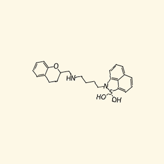 OS1(O)c2cccc3cccc(c23)N1CCCCNCC1CCc2ccccc2O1